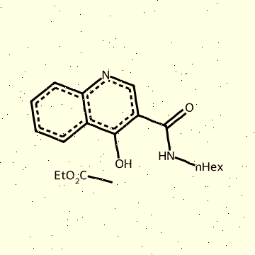 CCCCCCNC(=O)c1cnc2ccccc2c1O.CCOC(C)=O